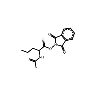 CCCC(NC(C)=O)C(=O)ON1C(=O)c2ccccc2C1=O